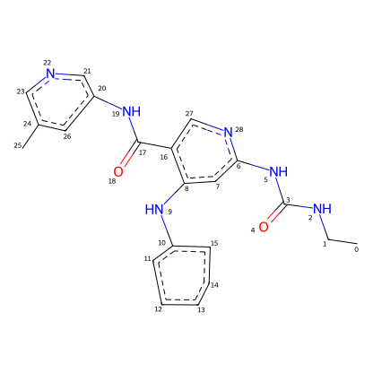 CCNC(=O)Nc1cc(Nc2ccccc2)c(C(=O)Nc2cncc(C)c2)cn1